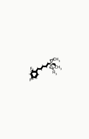 CC[Si](CCCCCc1ccc(F)cc1F)(OC)OC